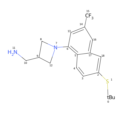 CC(C)(C)Sc1ccc2c(N3CC(CN)C3)cc(C(F)(F)F)cc2c1